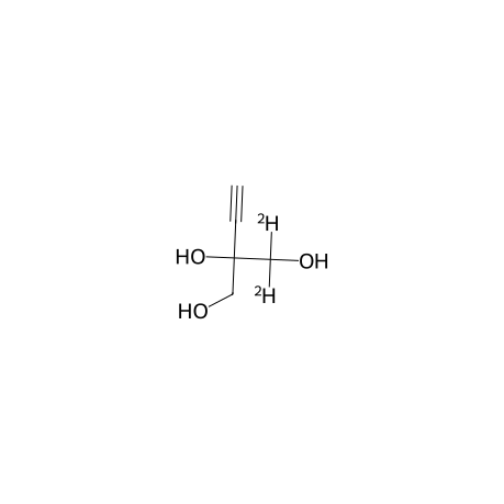 [2H]C([2H])(O)C(O)(C#C)CO